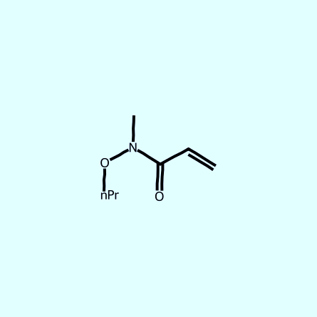 C=CC(=O)N(C)OCCC